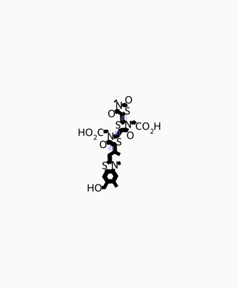 C/C(C=C1Sc2cc(CO)c(C)cc2N1C)=c1\s/c(=c2/s/c(=C3/SC(=O)N(C)C3=O)n(CC(=O)O)c2=O)n(CC(=O)O)c1=O